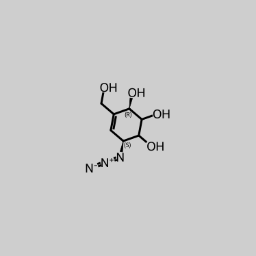 [N-]=[N+]=N[C@H]1C=C(CO)[C@@H](O)C(O)C1O